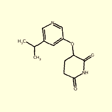 CC(C)c1cncc(OC2CCC(=O)NC2=O)c1